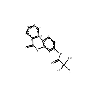 C=C1Oc2cc(OC(=O)C(F)(F)F)ccc2-c2ccccc21